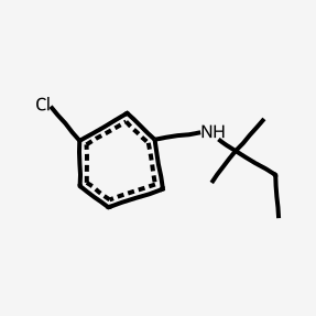 CCC(C)(C)Nc1cccc(Cl)c1